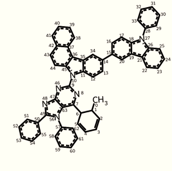 CC1C=CC=CC1c1nc(-n2c3ccc(-c4ccc5c(c4)c4ccccc4n5-c4ccccc4)cc3c3c4ccccc4ccc32)nc2nc(-c3ccccc3)n(-c3ccccc3)c12